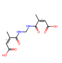 C/C(=C/C(=O)O)C(=O)NCNC(=O)/C(C)=C\C(=O)O